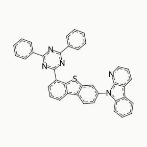 c1ccc(-c2nc(-c3ccccc3)nc(-c3cccc4c3sc3cc(-n5c6ccccc6c6cccnc65)ccc34)n2)cc1